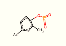 CC(=O)c1ccc(OP(=O)=O)c(C)c1